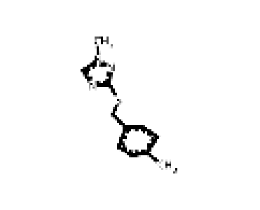 Cc1ccc(CSc2ncn(C)n2)cc1